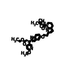 CCOC(=O)C[C@@H](c1ccc(OC)nc1)n1cc2cc(OCCc3ccc4c(n3)N(C(=O)OC(C)(C)C)CCC4)ccc2n1